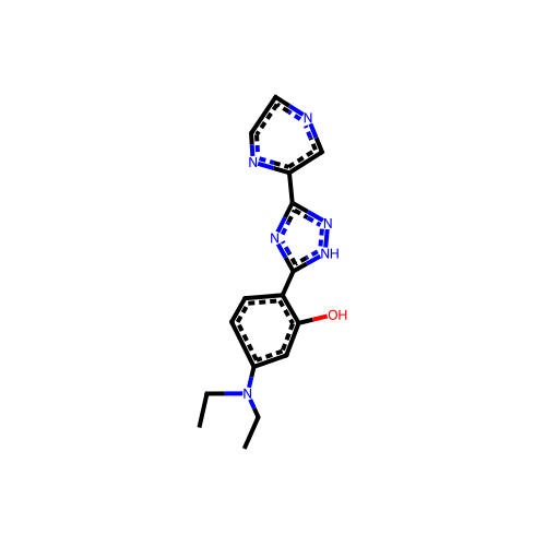 CCN(CC)c1ccc(-c2nc(-c3cnccn3)n[nH]2)c(O)c1